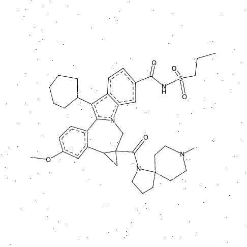 CCCS(=O)(=O)NC(=O)c1ccc2c(C3CCCCC3)c3n(c2c1)CC1(C(=O)N2CCCC24CCN(C)CC4)CC1c1cc(OC)ccc1-3